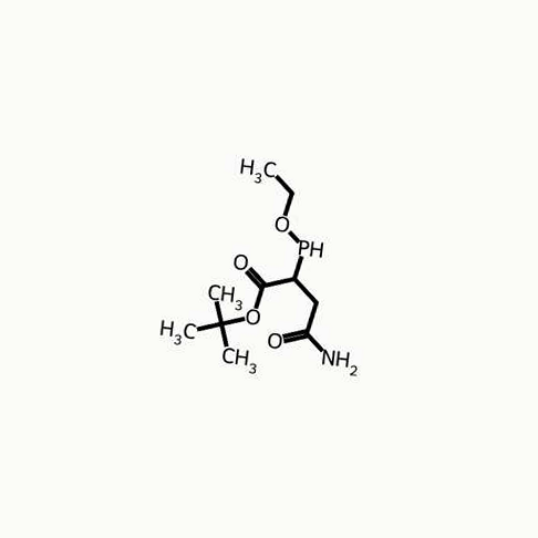 CCOPC(CC(N)=O)C(=O)OC(C)(C)C